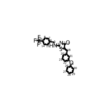 O=C1N=C(NCc2ccc(C(F)(F)F)cc2)SC1=Cc1cccc(Oc2ccccc2)c1